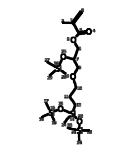 C=C(C)C(=O)OCC(COCCC[Si](C)(O[Si](C)(C)C)O[Si](C)(C)C)O[Si](C)(C)C